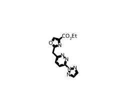 CCOC(=O)c1coc(Cc2ccc(-n3nccn3)nn2)n1